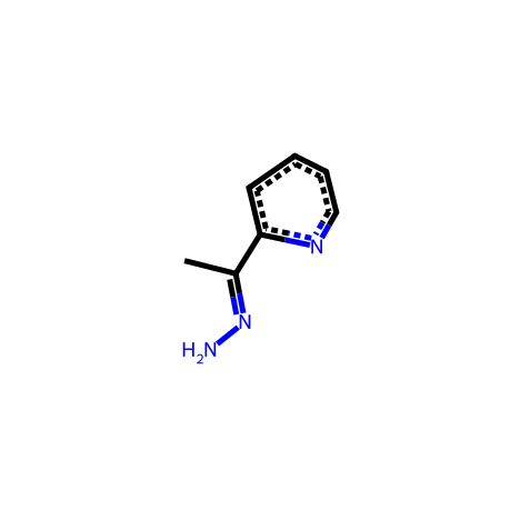 CC(=NN)c1ccccn1